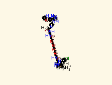 C=C(CN1CCC(CNc2ncnc(N)c2-c2ccc(Oc3ccccc3)cc2)CC1)C(=O)NCCNC(=O)CCOCCOCCOCCOCCNC(=O)CC1N=C(c2ccc(Cl)cc2)c2c(sc(C)c2C)-n2c(C)nnc21